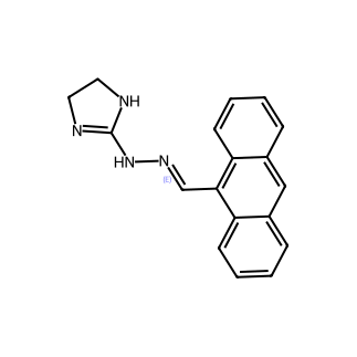 C(=N\NC1=NCCN1)/c1c2ccccc2cc2ccccc12